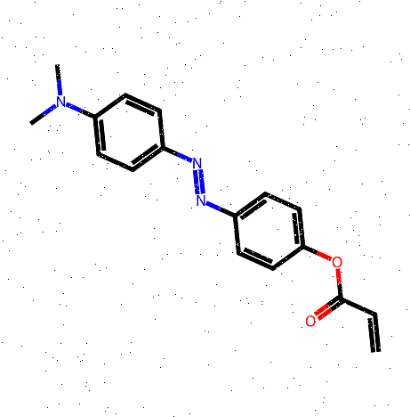 C=CC(=O)Oc1ccc(/N=N/c2ccc(N(C)C)cc2)cc1